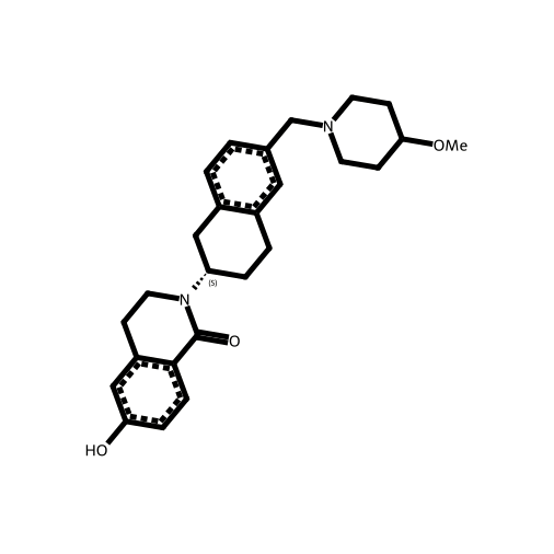 COC1CCN(Cc2ccc3c(c2)CC[C@H](N2CCc4cc(O)ccc4C2=O)C3)CC1